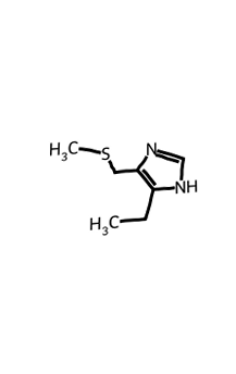 CCc1[nH]cnc1CSC